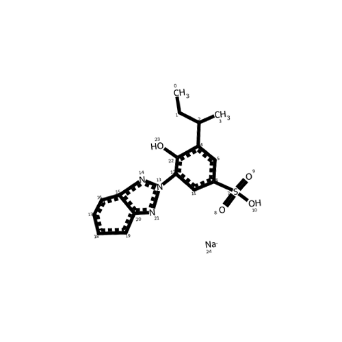 CCC(C)c1cc(S(=O)(=O)O)cc(-n2nc3ccccc3n2)c1O.[Na]